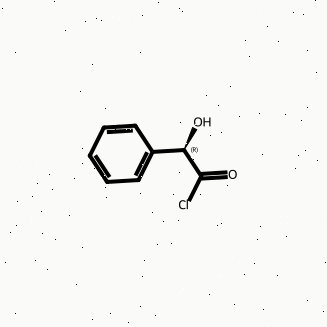 O=C(Cl)[C@H](O)c1ccccc1